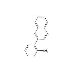 Nc1[c]cccc1-c1cnc2ccccc2n1